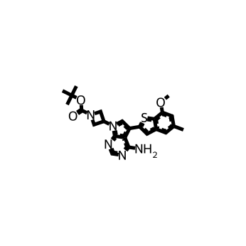 COc1cc(C)cc2cc(-c3cn(C4CN(C(=O)OC(C)(C)C)C4)c4ncnc(N)c34)sc12